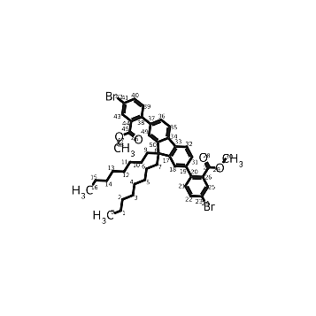 CCCCCCCCC1(CCCCCCCC)c2cc(-c3ccc(Br)cc3C(=O)OC)ccc2-c2ccc(-c3ccc(Br)cc3C(=O)OC)cc21